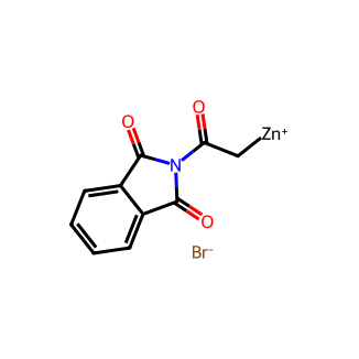 O=C([CH2][Zn+])N1C(=O)c2ccccc2C1=O.[Br-]